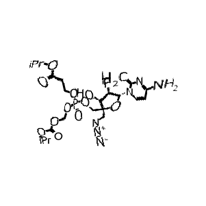 C=C1N=C(N)C=CN1[C@@H]1O[C@](CN=[N+]=[N-])(COP(=O)(OCCC(=O)OC(C)C)OCOC(=O)OC(C)C)[C@@H](O)[C@H]1F